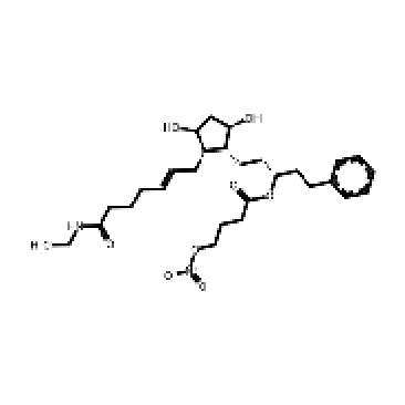 CCNC(=O)CCCC=CC[C@@H]1[C@@H](CC[C@H](CCc2ccccc2)OC(=O)CCCO[N+](=O)[O-])[C@H](O)C[C@@H]1O